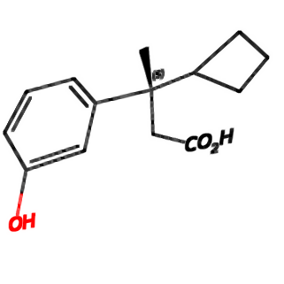 C[C@@](CC(=O)O)(c1cccc(O)c1)C1CCC1